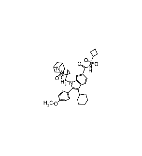 COc1ccc(-c2c(C3CCCCC3)c3ccc(C(=O)NS(=O)(=O)C4CCC4)cc3n2CC2(C(=O)N3C4CC3CN(C)C4)CC2)cc1